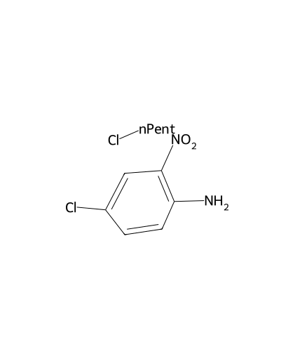 CCCCCCl.Nc1ccc(Cl)cc1[N+](=O)[O-]